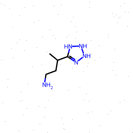 CC(CCN)C1=NNNN1